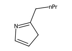 CCCCC1=NC=CC1